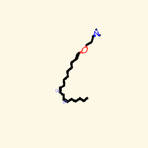 CCCCC/C=C\C/C=C\CCCCCCC=COCCCN(C)C